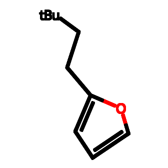 CC(C)(C)CCc1ccco1